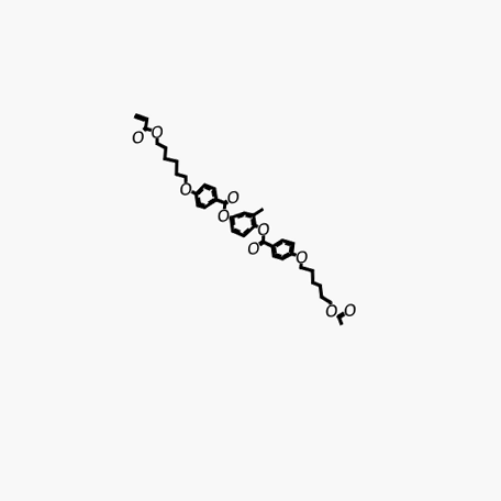 C=CC(=O)OCCCCCCOc1ccc(C(=O)Oc2ccc(OC(=O)c3ccc(OCCCCCCOC(C)=O)cc3)c(C)c2)cc1